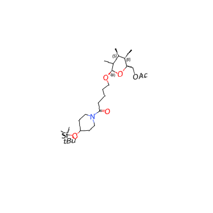 CC(=O)OCC1O[C@@H](OCCCCC(=O)N2CCC(O[Si](C)(C)C(C)(C)C)CC2)C(C)[C@@H](C)[C@H]1C